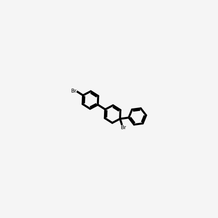 Brc1ccc(C2=CCC(Br)(c3ccccc3)C=C2)cc1